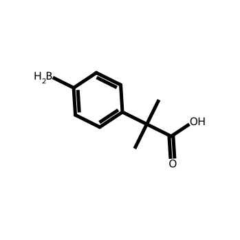 Bc1ccc(C(C)(C)C(=O)O)cc1